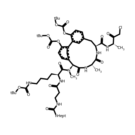 CCCCCCCC(=O)NCCC(=O)N[C@@H](CCCCNC(=O)OC(C)(C)C)C(=O)N(C)[C@@H]1C(=O)N[C@@H](C)C(=O)N[C@H](C(=O)N[C@@H](C)C(=O)CCl)Cc2ccc(OC(=O)OC(C)(C)C)c(c2)-c2cc1ccc2OC(=O)OC(C)(C)C